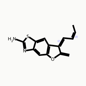 C=c1oc2cc3nc(N)sc3cc2/c1=C/C=C\C